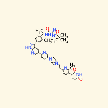 Cc1cc(-c2n[nH]c3ncc(-c4ccc(N5CC6CC5CN6CCc5ccc(C6CCC(=O)NC6=O)c(C)n5)cn4)cc23)ccc1C(C)NC(=O)c1noc(C(C)(C)C)n1